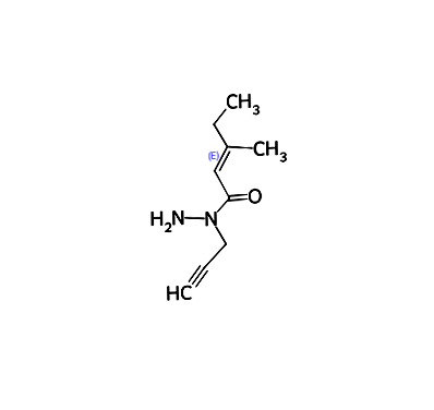 C#CCN(N)C(=O)/C=C(\C)CC